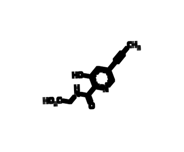 CC#Cc1cnc(C(=O)NCC(=O)O)c(O)c1